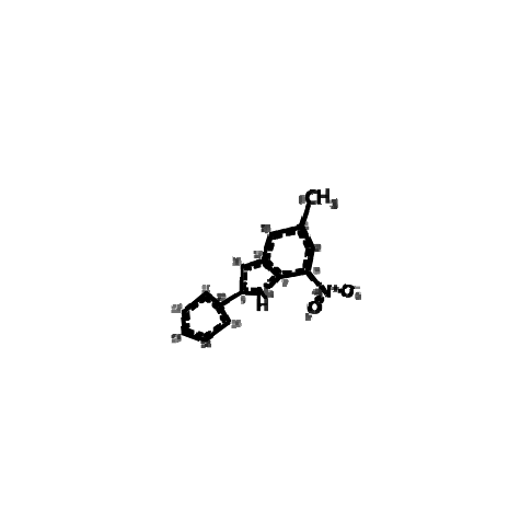 Cc1cc([N+](=O)[O-])c2[nH]c(-c3ccccc3)cc2c1